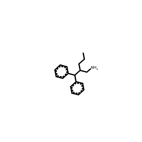 CCCC(CN)C(c1ccccc1)c1ccccc1